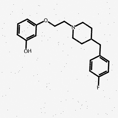 Oc1cccc(OCCN2CCC(Cc3ccc(F)cc3)CC2)c1